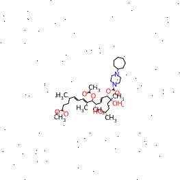 COC(=O)CC[C@H](C)/C=C/C=C(\C)[C@@H](OC(C)=O)[C@@H](C)/C=C/[C@H](OC(=O)N1CCN(C2CCCCCC2)CC1)[C@](C)(O)CC[C@H](C)O